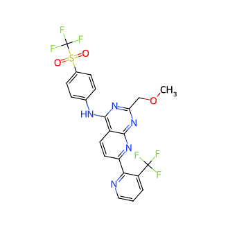 COCc1nc(Nc2ccc(S(=O)(=O)C(F)(F)F)cc2)c2ccc(-c3ncccc3C(F)(F)F)nc2n1